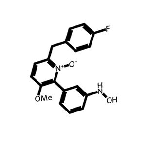 COc1ccc(Cc2ccc(F)cc2)[n+]([O-])c1-c1cccc(NO)c1